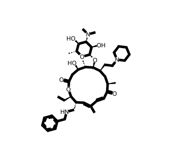 CC[C@H]1OC(=O)C[C@@H](O)[C@H](C)[C@@H](O[C@@H]2O[C@H](C)[C@@H](O)[C@H](N(C)C)[C@H]2O)[C@@H](CCN2CCCCC2)C[C@@H](C)C(=O)/C=C/C(C)=C/[C@@H]1CNCc1ccccc1